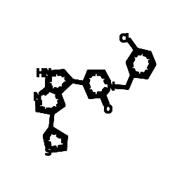 O=c1cc(-c2c[nH]c3ncc(-c4ccsc4)cc23)ccn1Cc1cccc(Cl)c1